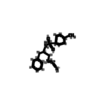 Cc1ccc(S(=O)(=O)NC(CN=[N+]=[N-])Cc2ccccc2)cc1